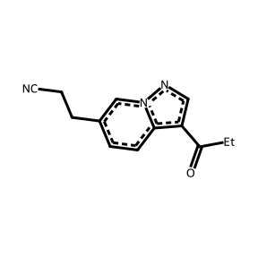 CCC(=O)c1cnn2cc(CCC#N)ccc12